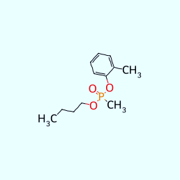 CCCCOP(C)(=O)Oc1ccccc1C